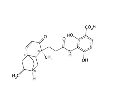 C=C1C[C@@]23C=CC(=O)[C@@](C)(CCC(=O)Nc4c(O)ccc(C(=O)O)c4O)C2C[C@@H]1CC3